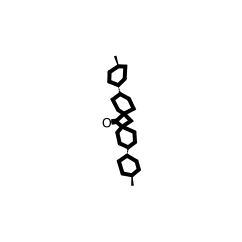 C[C@H]1CC[C@H](C2CCC3(CC2)CC2(CCC([C@H]4CC[C@H](C)CC4)CC2)C3=O)CC1